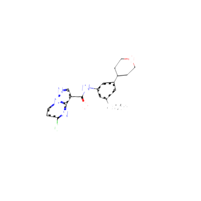 COc1cc(NC(=O)c2cnn3ccc(Cl)nc23)cc(C2CCOCC2)c1